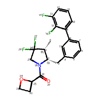 C[C@@H]1[C@H](Cc2cccc(-c3cccc(F)c3F)c2)N(C(=O)C2CCO2)CC1(F)F